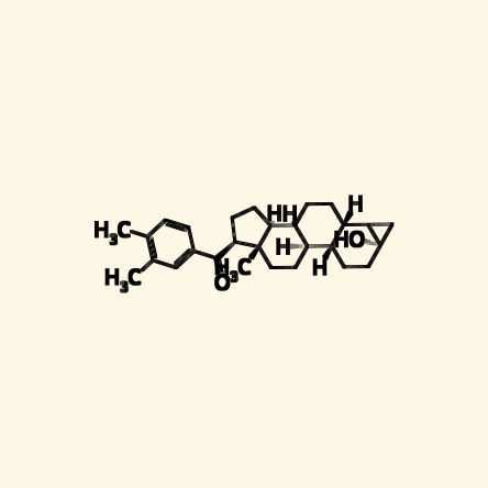 Cc1ccc(C(=O)[C@H]2CC[C@H]3[C@@H]4CC[C@@H]5C6C[C@@]6(O)CC[C@@H]5[C@H]4CC[C@]23C)cc1C